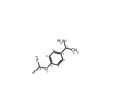 CC(N)c1ccc(OC(F)F)cc1